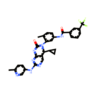 Cc1ccc(Nc2ncc3c(C4CC4)n(-c4cc(NC(=O)c5cccc(C(F)(F)F)c5)ccc4C)c(=O)nc3n2)cn1